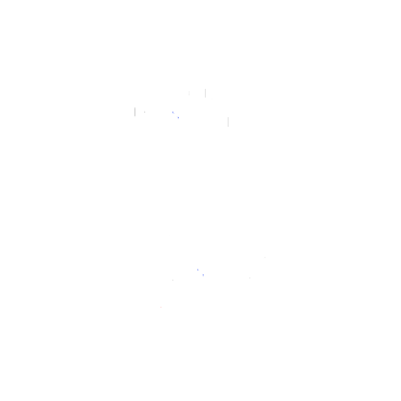 CCc1ccc(-c2cccc3c2CN(CC2CO2)C3=O)cc1N(C)C